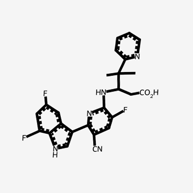 CC(C)(c1ccccn1)C(CC(=O)O)Nc1nc(-c2c[nH]c3c(F)cc(F)cc23)c(C#N)cc1F